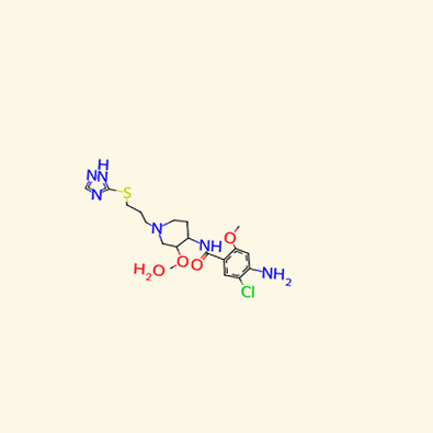 COc1cc(N)c(Cl)cc1C(=O)NC1CCN(CCCSc2ncn[nH]2)CC1OC.O